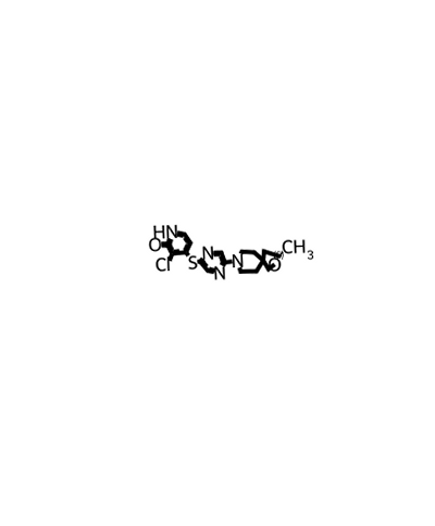 C[C@H]1CC2(CCN(c3cnc(Sc4cc[nH]c(=O)c4Cl)cn3)CC2)CO1